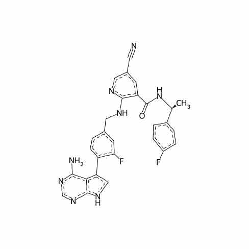 C[C@H](NC(=O)c1cc(C#N)cnc1NCc1ccc(-c2c[nH]c3ncnc(N)c23)c(F)c1)c1ccc(F)cc1